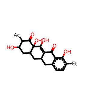 CCc1ccc2c(c1O)C(=O)C1=C(O)C3(O)C(=O)C(C(C)=O)C(O)CC3CC1C2